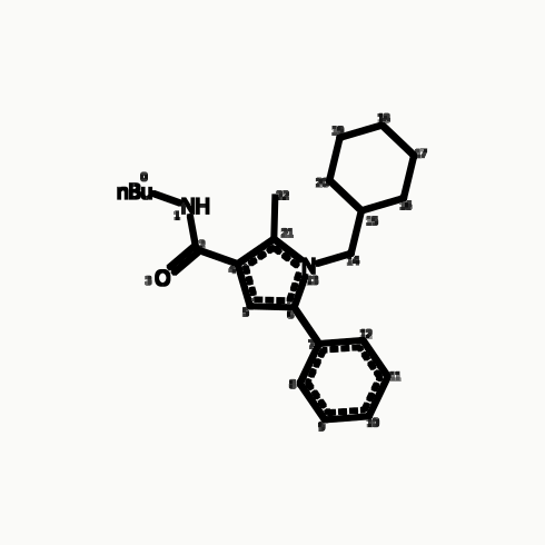 CCCCNC(=O)c1cc(-c2ccccc2)n(CC2CCCCC2)c1C